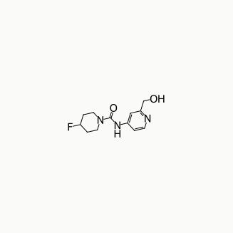 O=C(Nc1ccnc(CO)c1)N1CCC(F)CC1